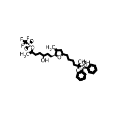 C=C(CC[C@H](O)CC[C@@H]1OC(CCCCC(C)(C)[Si](O)(c2ccccc2)c2ccccc2)CC1=C)OS(=O)(=O)C(F)(F)F